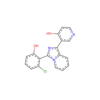 Oc1ccncc1-c1nc(-c2c(O)cccc2Cl)n2ccccc12